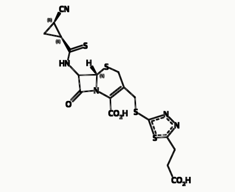 N#C[C@@H]1C[C@@H]1C(=S)NC1C(=O)N2C(C(=O)O)=C(CSc3nnc(CCC(=O)O)s3)CS[C@@H]12